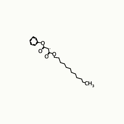 CCCCCCCCCCCCOC(=O)[CH]C(=O)Oc1ccccc1